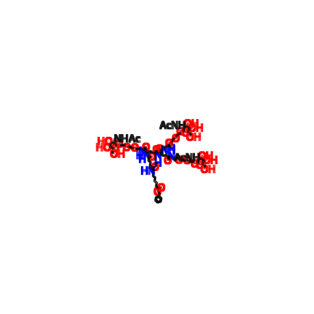 CC(=O)NC[C@H]1[C@H](OCCOCCOCCNC(=O)C(CCC(=O)NC(CCC(=O)NCCOCCOCCO[C@@H]2O[C@H](CO)[C@H](O)[C@H](O)[C@H]2NC(C)=O)C(=O)NCCOCCOCCO[C@@H]2O[C@H](CO)[C@H](O)[C@H](O)[C@H]2NC(C)=O)NC(=O)CCCC(=O)NCCCCCCC(=O)OCc2ccccc2)O[C@H](CO)[C@H](O)[C@@H]1O